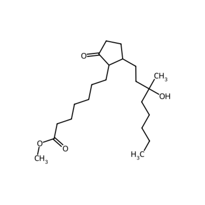 CCCCCC(C)(O)CCC1CCC(=O)C1CCCCCCC(=O)OC